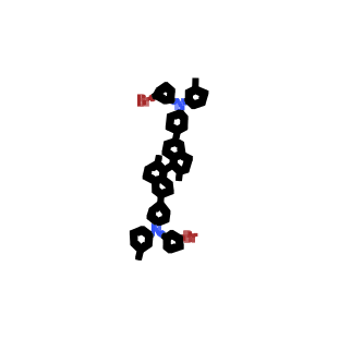 Cc1cccc(N(c2ccc(-c3ccc4c(-c5c(C)ccc6cc(-c7ccc(N(c8cccc(C)c8)c8cccc(Br)c8)cc7)ccc56)c(C)ccc4c3)cc2)c2cccc(Br)c2)c1